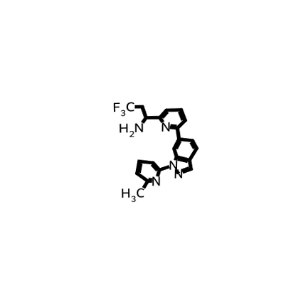 Cc1cccc(-n2ncc3ccc(-c4cccc(C(N)CC(F)(F)F)n4)cc32)n1